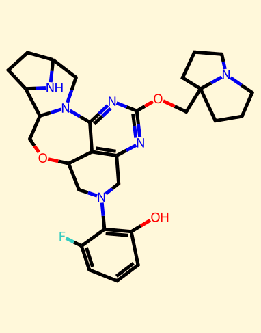 Oc1cccc(F)c1N1Cc2nc(OCC34CCCN3CCC4)nc3c2C(C1)OCC1C2CCC(CN31)N2